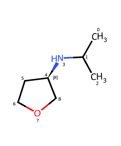 CC(C)N[C@@H]1CCOC1